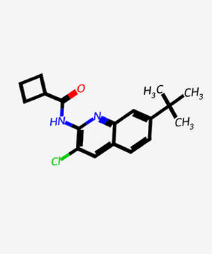 CC(C)(C)c1ccc2cc(Cl)c(NC(=O)C3CCC3)nc2c1